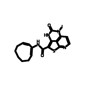 O=C(NC1=C/CCCCC/C=C\1)c1sc2nccc3c2c1NC(=O)N3I